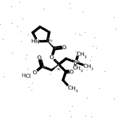 CCC(=O)[C@@](CC(=O)[O-])(C[N+](C)(C)C)OC(=O)[C@@H]1CCCN1.Cl